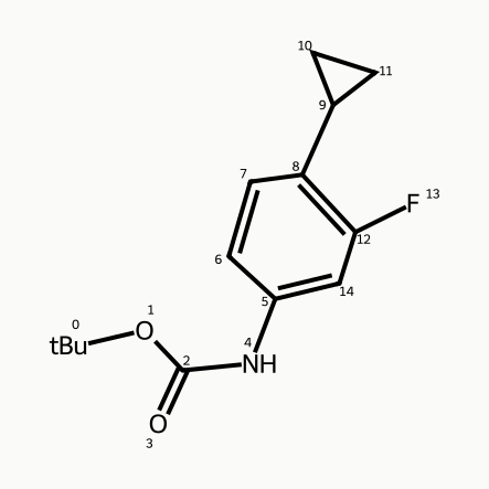 CC(C)(C)OC(=O)Nc1ccc(C2CC2)c(F)c1